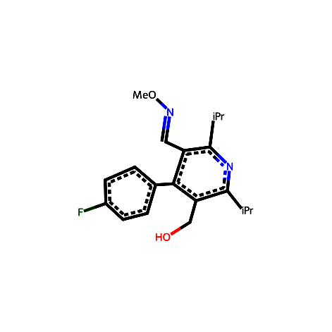 CON=Cc1c(C(C)C)nc(C(C)C)c(CO)c1-c1ccc(F)cc1